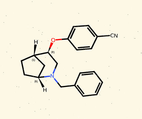 N#Cc1ccc(O[C@H]2CN(Cc3ccccc3)[C@@H]3CC[C@H]2C3)cc1